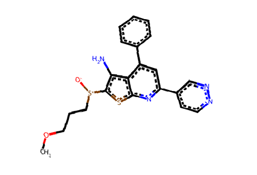 COCCC[S+]([O-])c1sc2nc(-c3ccnnc3)cc(-c3ccccc3)c2c1N